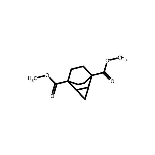 COC(=O)C12CCC(C(=O)OC)(CC1)C1CC12